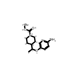 CC(Oc1ccc(N)nc1)C1CCN(C(=O)OC(C)(C)C)CC1